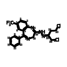 FC(F)(F)c1ccc2c(c1)C(c1ccccc1)=NCC(NN=C(CCl)CCCl)=N2